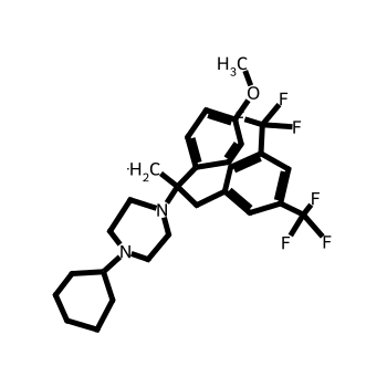 [CH2]C(Cc1cc(C(F)(F)F)cc(C(F)(F)F)c1)(c1ccc(OC)cc1)N1CCN(C2CCCCC2)CC1